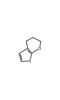 c1cc2c(s1)OCCC2